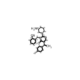 C=C(c1ccc(F)cc1)c1cnc(N2CCC[C@@H](N)C2)n(Cc2ccccc2C#N)c1=O